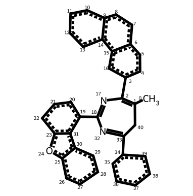 CC1=C(c2ccc3ccc4ccccc4c3c2)N=C(c2cccc3oc4ccccc4c23)N=C(c2ccccc2)C1